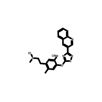 CCN(C)CCc1cc(OC)c(Oc2nc(-c3cnc4ccccc4c3)ns2)cc1C